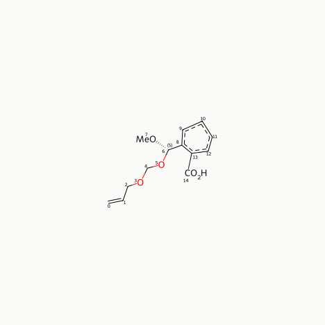 C=CCOCO[C@H](OC)c1ccccc1C(=O)O